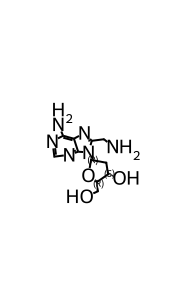 NCc1nc2c(N)ncnc2n1[C@H]1C[C@H](O)[C@@H](CO)O1